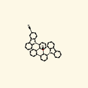 N#Cc1ccc2c(c1)c1ccccc1n2-c1ccccc1-c1ccccc1-c1cccc(-n2c3ccccc3c3ccccc32)c1C#N